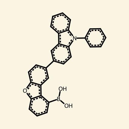 OB(O)c1cccc2oc3ccc(-c4ccc5c(c4)c4ccccc4n5-c4ccccc4)cc3c12